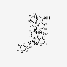 N=C(N)c1ccc(NC(=O)c2ccccc2-c2cc(OCc3ccccc3)ccc2C(=O)OCc2ccccc2)cc1